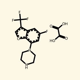 Fc1cc(N2CCNCC2)c2occ(C(F)(F)F)c2c1.O=C(O)C(=O)O